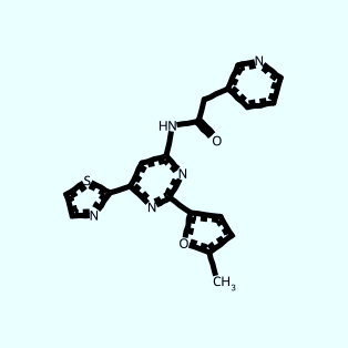 Cc1ccc(-c2nc(NC(=O)Cc3cccnc3)cc(-c3nccs3)n2)o1